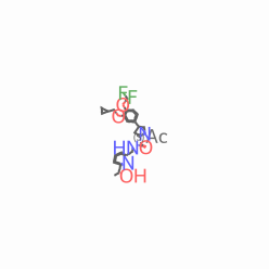 CC(=O)N1CC(c2ccc(OC(F)F)c(OCC3CC3)c2)C[C@H]1C(=O)NCc1cccc(C(C)O)n1